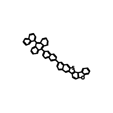 c1ccc2c(-c3c4ccccc4c(-c4ccc5cc(-c6ccc7cc8c(cc7c6)sc6c8ccc7oc8ccccc8c76)ccc5c4)c4ccccc34)cccc2c1